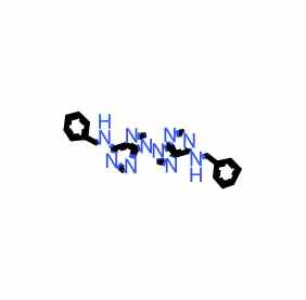 c1ccc(CNc2ncnc3c2ncn3-n2cnc3c(NCc4ccccc4)ncnc32)cc1